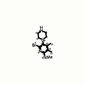 CNc1nc(Br)c(N2CCNCC2)c(C)c1C